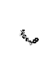 O=C(C=CN1CC(N2CCN(C(=O)c3nccs3)CC2)C1)c1ccc2ccccc2c1